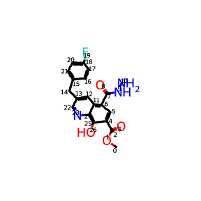 COC(=O)c1cc(C(=O)NN)c2cc(Cc3ccc(F)cc3)cnc2c1O